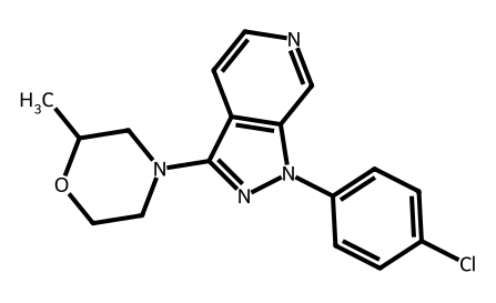 CC1CN(c2nn(-c3ccc(Cl)cc3)c3cnccc23)CCO1